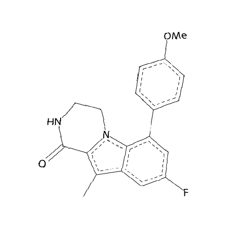 COc1ccc(-c2cc(F)cc3c(C)c4n(c23)CCNC4=O)cc1